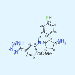 COc1ccc(-c2nnn[nH]2)cc1N(C)[C@H]1CC[C@H](N)[C@H]1c1ccc(F)cc1